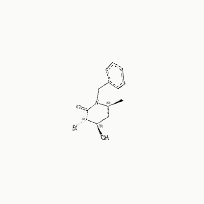 CC[C@@H]1C(=O)N(Cc2ccccc2)[C@@H](C)C[C@H]1O